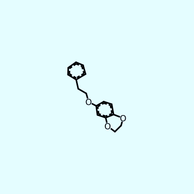 c1ccc(CCOc2ccc3c(c2)OCCO3)cc1